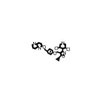 Clc1cncc(Cl)c1-c1noc(C2CC2)c1COC12CCC(COc3ccc4ncccc4n3)(CC1)CC2